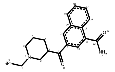 C[C](C)CN1CCCC(C(=O)c2cc(C(N)=O)c3ccccc3c2)C1